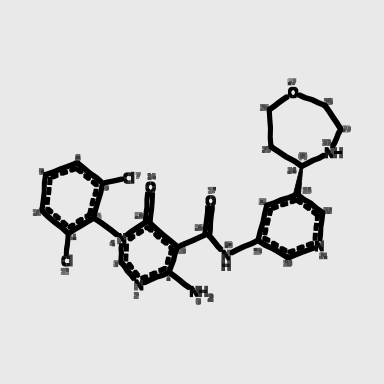 Nc1ncn(-c2c(Cl)cccc2Cl)c(=O)c1C(=O)Nc1cncc([C@H]2CCOCCN2)c1